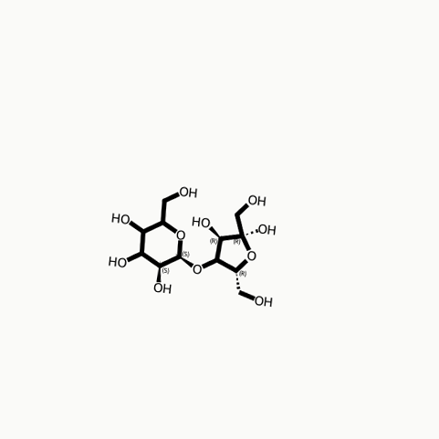 OCC1O[C@@H](OC2[C@@H](O)[C@@](O)(CO)O[C@@H]2CO)[C@@H](O)C(O)C1O